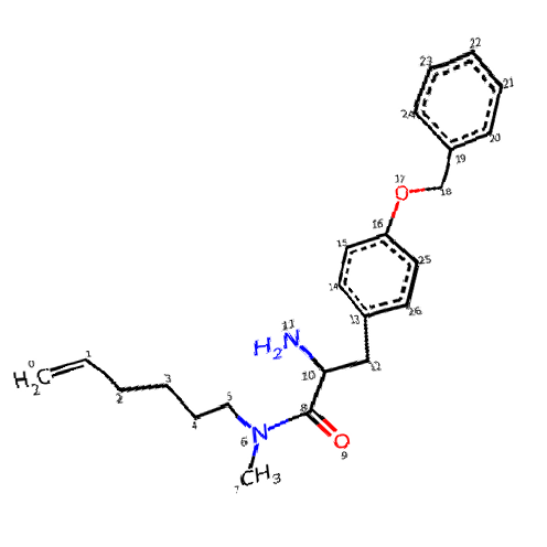 C=CCCCCN(C)C(=O)C(N)Cc1ccc(OCc2ccccc2)cc1